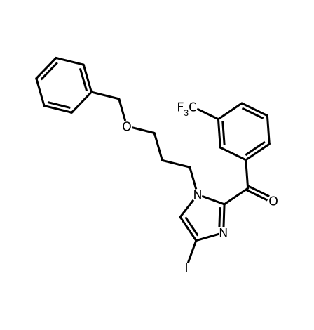 O=C(c1cccc(C(F)(F)F)c1)c1nc(I)cn1CCCOCc1ccccc1